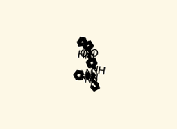 O=C(Nc1ccc(Nc2nc(N3CCCCC3)nc(N3CCCC3)n2)cc1)c1ccc2ccccc2c1O